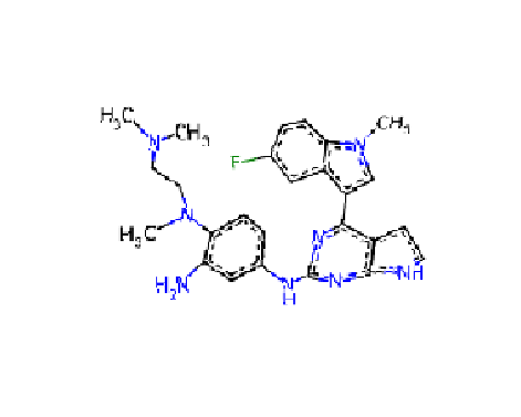 CN(C)CCN(C)c1ccc(Nc2nc(-c3cn(C)c4ccc(F)cc34)c3cc[nH]c3n2)cc1N